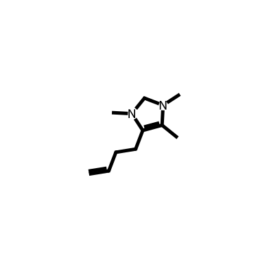 C=CCCC1=C(C)N(C)CN1C